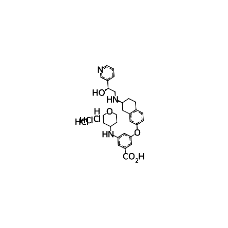 Cl.Cl.Cl.O=C(O)c1cc(NC2CCOCC2)cc(Oc2ccc3c(c2)C[C@@H](NC[C@@H](O)c2cccnc2)CC3)c1